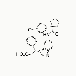 O=C(O)CC(c1ccccc1)n1cnc2ccc(NC(=O)C3(c4ccc(Cl)cc4)CCCC3)cc21